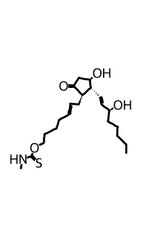 CCCCC[C@H](O)C=C[C@H]1[C@H](O)CC(=O)[C@@H]1CC=CCCCCOC(=S)NC